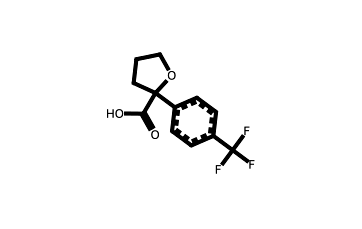 O=C(O)C1(c2ccc(C(F)(F)F)cc2)CCCO1